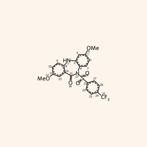 COc1ccc2c(c1)Nc1ccc(OC)cc1C(=O)N2S(=O)(=O)c1ccc(C(F)(F)F)cc1